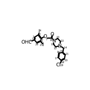 O=Cc1cc(I)c(OCC(=O)N2CCN(Cc3ccc(Cl)cc3)CC2)c(I)c1